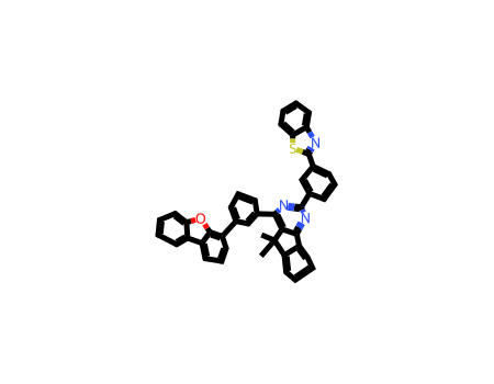 CC1(C)c2ccccc2-c2nc(-c3cccc(-c4nc5ccccc5s4)c3)nc(-c3cccc(-c4cccc5c4oc4ccccc45)c3)c21